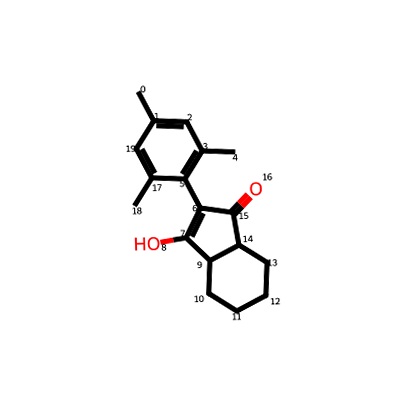 Cc1cc(C)c(C2=C(O)C3CCCCC3C2=O)c(C)c1